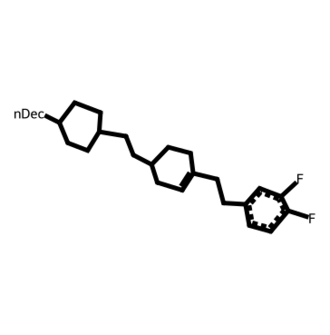 CCCCCCCCCCC1CCC(CCC2CC=C(CCc3ccc(F)c(F)c3)CC2)CC1